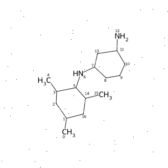 CC1CC(C)C(NC2CCCC(N)C2)C(C)C1